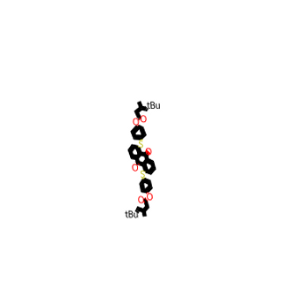 CC(CC(=O)Oc1ccc(Sc2cccc3c2C(=O)c2cccc(Sc4ccc(OC(=O)CC(C)CC(C)(C)C)cc4)c2C3=O)cc1)CC(C)(C)C